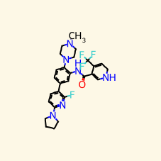 CN1CCN(c2ccc(-c3ccc(N4CCCC4)nc3F)cc2NC(=O)C2=CNCC=C2C(F)(F)F)CC1